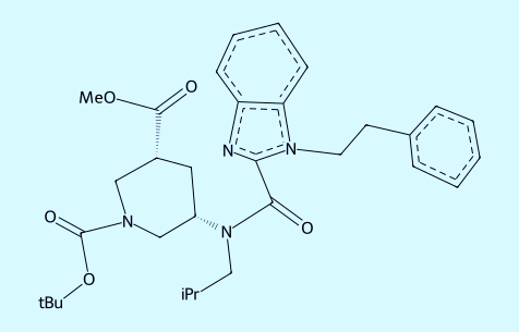 COC(=O)[C@@H]1C[C@H](N(CC(C)C)C(=O)c2nc3ccccc3n2CCc2ccccc2)CN(C(=O)OC(C)(C)C)C1